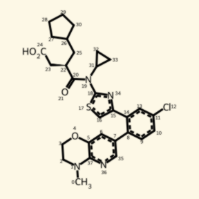 CN1CCOc2cc(-c3ccc(Cl)cc3-c3csc(N(C(=O)[C@@H](CC(=O)O)CC4CCCC4)C4CC4)n3)cnc21